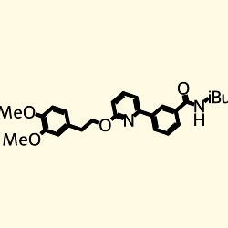 CCC(C)NC(=O)c1cccc(-c2cccc(OCCc3ccc(OC)c(OC)c3)n2)c1